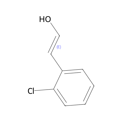 O/C=C/c1ccccc1Cl